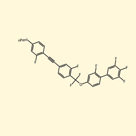 CCCCCc1ccc(C#Cc2ccc(C(F)(F)Oc3ccc(-c4cc(F)c(F)c(F)c4)c(F)c3)c(F)c2)c(F)c1